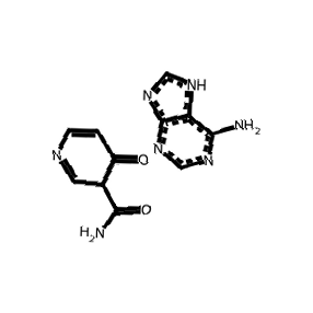 NC(=O)C1C=NC=CC1=O.Nc1ncnc2nc[nH]c12